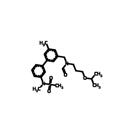 Cc1cc(CN(C=O)CCCOC(C)C)cc(-c2cccc(N(C)S(C)(=O)=O)c2)c1